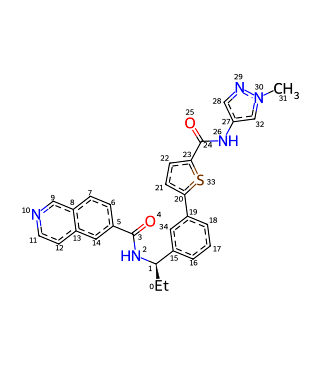 CC[C@@H](NC(=O)c1ccc2cnccc2c1)c1cccc(-c2ccc(C(=O)Nc3cnn(C)c3)s2)c1